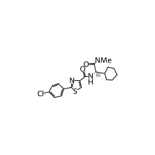 CNC(=O)[C@@H](NC(=O)c1csc(-c2ccc(Cl)cc2)n1)C1CCCCC1